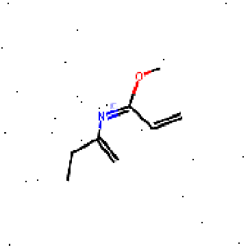 C=C/C(=N\C(=C)CC)OC